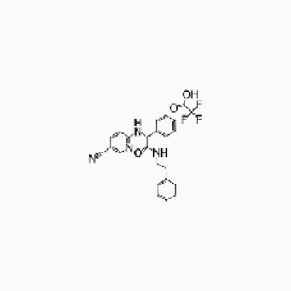 N#Cc1ccc(NC(C(=O)NCCc2ccccc2)c2ccccc2)nc1.O=C(O)C(F)(F)F